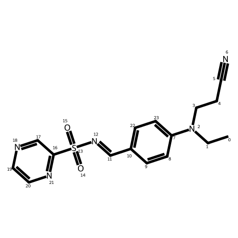 CCN(CCC#N)c1ccc(C=NS(=O)(=O)c2cnccn2)cc1